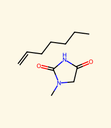 C=CCCCCC.CN1CC(=O)NC1=O